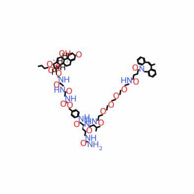 CCCC1O[C@@H]2C[C@H]3[C@@H]4CCC5=CC(=O)C=C[C@]5(C)[C@H]4[C@@H](O)C[C@]3(C)[C@]2(C(=O)COCNC(=O)CNC(=O)CNC(=O)OCc2ccc(NC(=O)[C@H](CCCNC(N)=O)NC(=O)[C@@H](NC(=O)CCOCCOCCOCCOCCNC(=O)CCC(=O)N3Cc4ccccc4/C(C)=C\c4ccccc43)C(C)C)cc2)O1